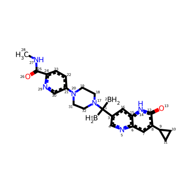 BC(B)(c1cnc2cc(C3CC3)c(=O)[nH]c2c1)N1CCN(c2ccc(C(=O)NC)nc2)CC1